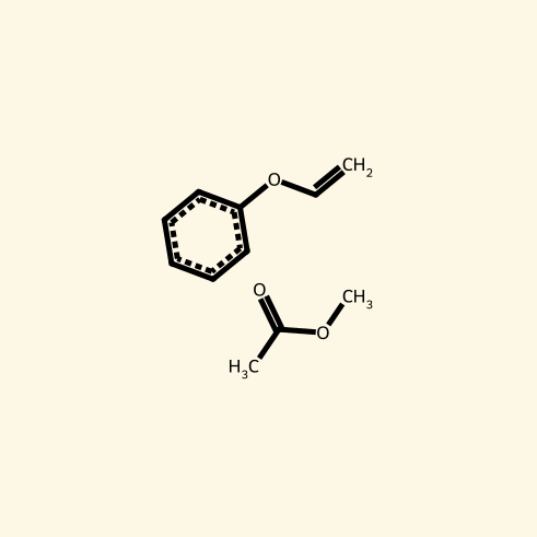 C=COc1ccccc1.COC(C)=O